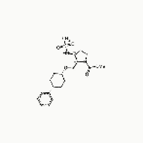 COC(=O)N1CC[C@H](NS(C)(=O)=O)[C@@H]1CO[C@H]1CC[C@@H](c2ccccc2)CC1